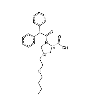 CCCCOCC[C@H]1C[C@@H](C(=O)O)N(C(=O)C(c2ccccc2)c2ccccc2)C1